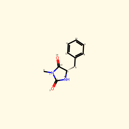 CN1C(=O)N[C@@H](Cc2ccccc2)C1=O